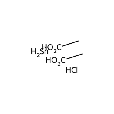 CC(=O)O.CC(=O)O.Cl.[SnH2]